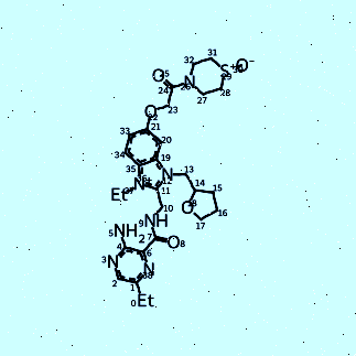 CCc1cnc(N)c(C(=O)NCc2n(CC3CCCO3)c3cc(OCC(=O)N4CC[S+]([O-])CC4)ccc3[n+]2CC)n1